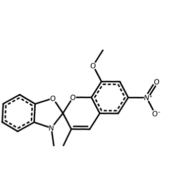 COc1cc([N+](=O)[O-])cc2c1OC1(Oc3ccccc3N1C)C(C)=C2